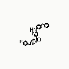 O=C(c1ccc(Nc2ccc(Cc3ccccc3)cc2)nc1)N1CCN(Cc2ccc(F)cc2)CC1